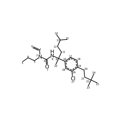 C=CN(CCC)C(=O)NC(C)(CCC(C)C)c1ccc(CCC(C)(C)C)c(Cl)c1